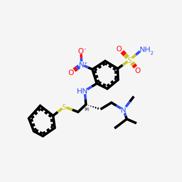 CC(C)N(C)CC[C@H](CSc1ccccc1)Nc1ccc(S(N)(=O)=O)cc1[N+](=O)[O-]